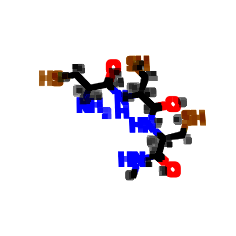 CNC(=O)[C@H](CS)NC(=O)[C@H](CS)NC(=O)[C@@H](N)CS